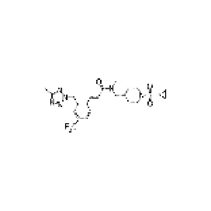 Cc1nnn(Cc2cc(C(F)(F)F)ccc2/C=C/C(=O)N(C)CC2CCN(S(=O)(=O)C3CC3)CC2)n1